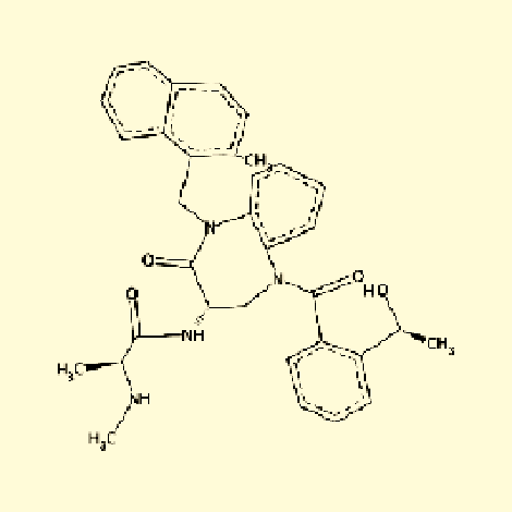 CN[C@@H](C)C(=O)N[C@H]1CN(C(=O)c2ccccc2[C@H](C)O)c2ccccc2N(Cc2c(C)ccc3ccccc23)C1=O